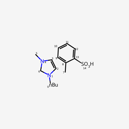 CCCCN1C=CN(C)C1.Cc1ccccc1S(=O)(=O)O